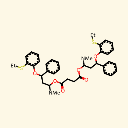 CCSc1ccccc1OC(CC(NC)OC(=O)CCC(=O)OC(CC(Oc1ccccc1SCC)c1ccccc1)NC)c1ccccc1